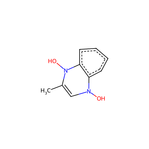 CC1=CN(O)c2ccccc2N1O